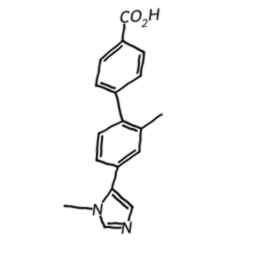 Cc1cc(-c2cncn2C)ccc1-c1ccc(C(=O)O)cc1